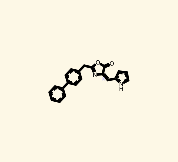 O=C1OC(Cc2ccc(-c3ccccc3)cc2)=N/C1=C/c1ccc[nH]1